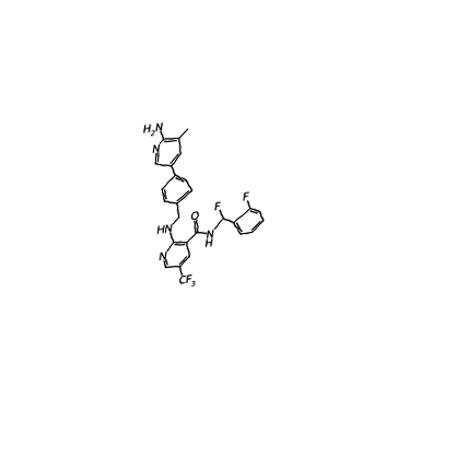 Cc1cc(-c2ccc(CNc3ncc(C(F)(F)F)cc3C(=O)NC(F)c3ccccc3F)cc2)cnc1N